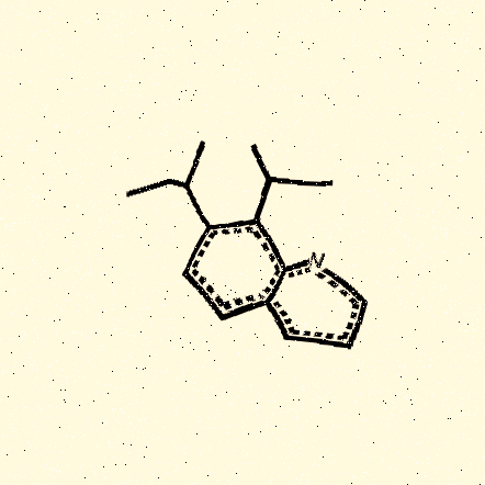 CC(C)c1ccc2cccnc2c1C(C)C